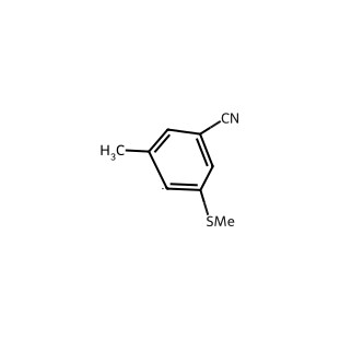 CSc1[c]c(C)cc(C#N)c1